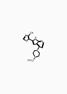 CCOC(=O)N1CCN(c2ccnc3[nH]c(-c4scnc4C#N)cc23)CC1